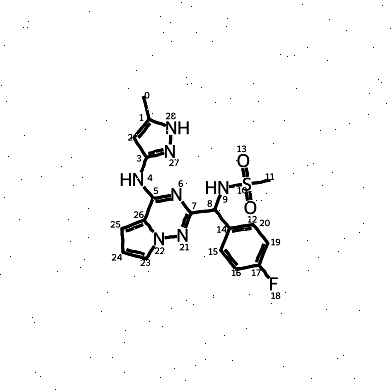 Cc1cc(Nc2nc(C(NS(C)(=O)=O)c3ccc(F)cc3)nn3cccc23)n[nH]1